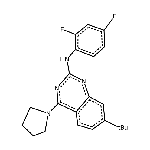 CC(C)(C)c1ccc2c(N3CCCC3)nc(Nc3ccc(F)cc3F)nc2c1